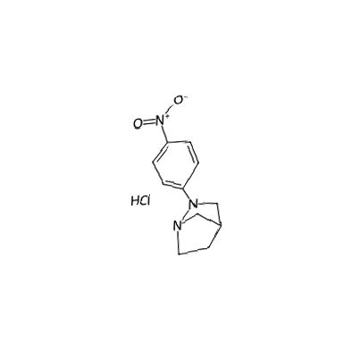 Cl.O=[N+]([O-])c1ccc(N2CC3CCN2C3)cc1